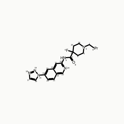 CC(C)CN1CCC(F)(C(=O)Nc2cc3cc(-n4ccnn4)ccc3cn2)CC1